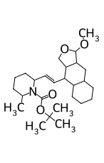 COC1OCC2C(/C=C/C3CCCC(C)N3C(=O)OC(C)(C)C)C3CCCCC3CC12